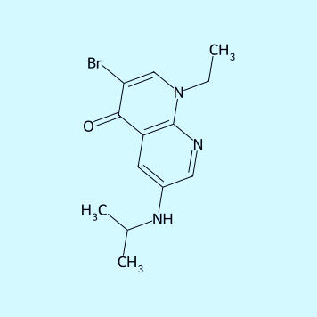 CCn1cc(Br)c(=O)c2cc(NC(C)C)cnc21